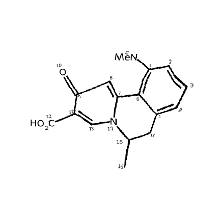 CNc1cccc2c1-c1cc(=O)c(C(=O)O)cn1C(C)C2